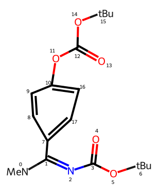 CN/C(=N/C(=O)OC(C)(C)C)c1ccc(OC(=O)OC(C)(C)C)cc1